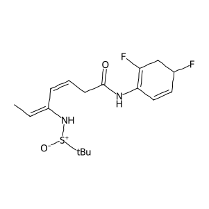 C/C=C(\C=C/CC(=O)NC1=C(F)CC(F)C=C1)N[S+]([O-])C(C)(C)C